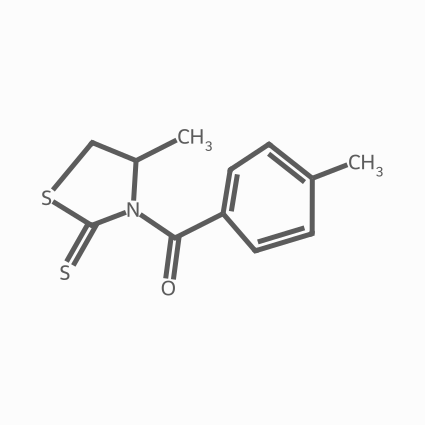 Cc1ccc(C(=O)N2C(=S)SCC2C)cc1